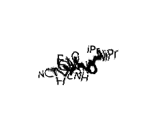 CCn1c(=C(C#N)C(=O)NCC#N)sc(=CNc2cccc(CCN(C(C)C)C(C)C)c2)c1=O